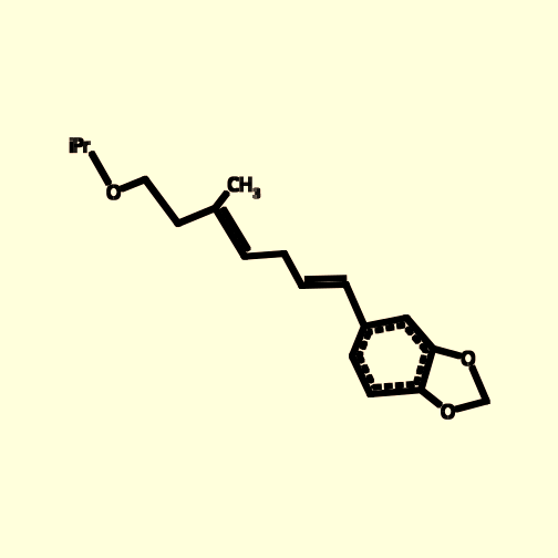 C/C(=C\C/C=C/c1ccc2c(c1)OCO2)CCOC(C)C